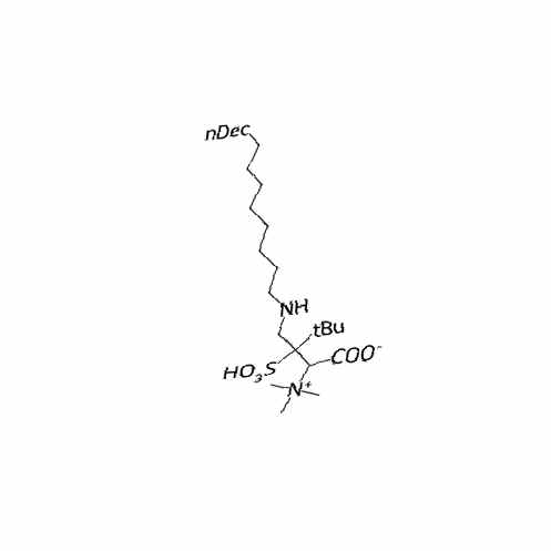 CCCCCCCCCCCCCCCCCCNCC(C(C(=O)[O-])[N+](C)(C)C)(C(C)(C)C)S(=O)(=O)O